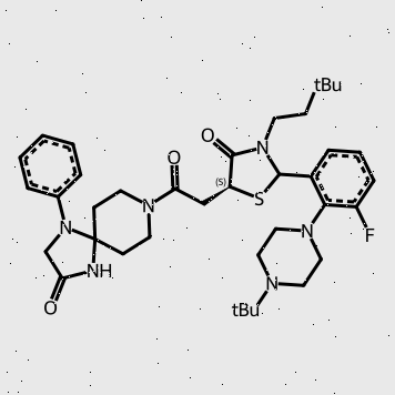 CC(C)(C)CCN1C(=O)[C@H](CC(=O)N2CCC3(CC2)NC(=O)CN3c2ccccc2)SC1c1cccc(F)c1N1CCN(C(C)(C)C)CC1